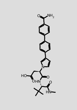 CNC(=O)[C@@H](NC(=O)[C@@H](CC(=O)O)n1ccc(-c2ccc(-c3ccc(C(N)=O)cc3)cc2)c1)C(C)(C)C